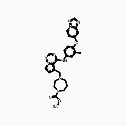 Cc1cc(Nc2ncnn3ccc(CN4CCCN(C(=O)OC(C)(C)C)CC4)c23)ccc1Oc1ccn2ncnc2c1